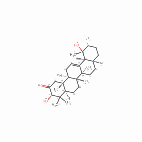 CC(=O)[C@]12CC[C@@H](C)[C@@](C)(O)[C@H]1C1=CC[C@@H]3[C@@]4(C)CC(=O)[C@H](O)C(C)(C)[C@@H]4CC[C@@]3(C)[C@]1(C)CC2